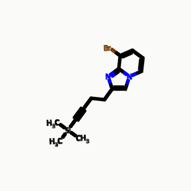 C[Si](C)(C)C#CCCc1cn2cccc(Br)c2n1